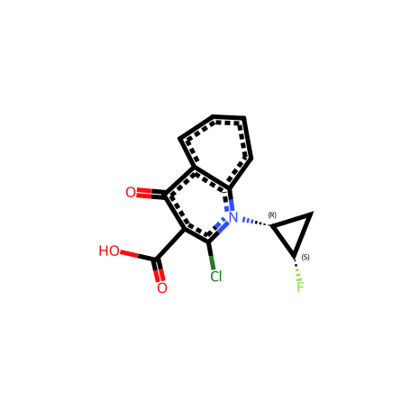 O=C(O)c1c(Cl)n([C@@H]2C[C@@H]2F)c2ccccc2c1=O